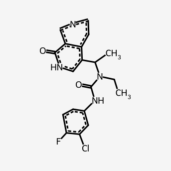 CCN(C(=O)Nc1ccc(F)c(Cl)c1)C(C)c1c[nH]c(=O)c2cnccc12